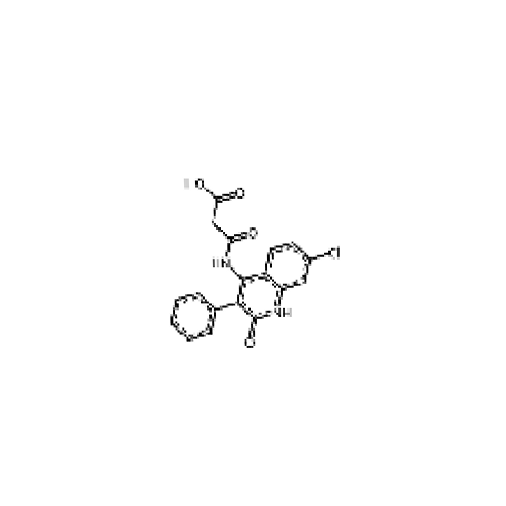 O=C(O)CC(=O)Nc1c(-c2ccccc2)c(=O)[nH]c2cc(Cl)ccc12